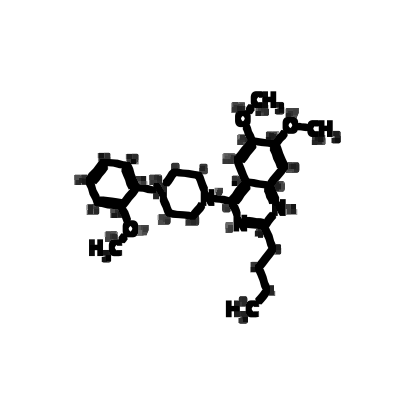 CCCCc1nc(N2CCN(c3ccccc3OC)CC2)c2cc(OC)c(OC)cc2n1